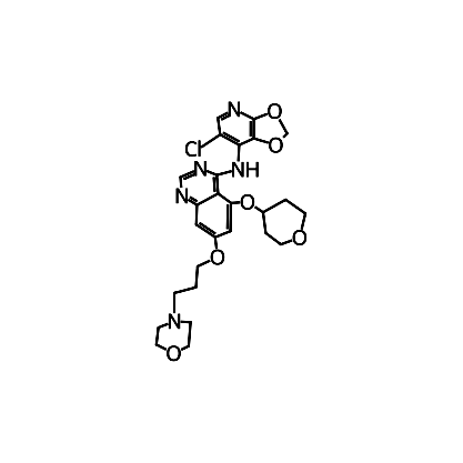 Clc1cnc2c(c1Nc1ncnc3cc(OCCCN4CCOCC4)cc(OC4CCOCC4)c13)OCO2